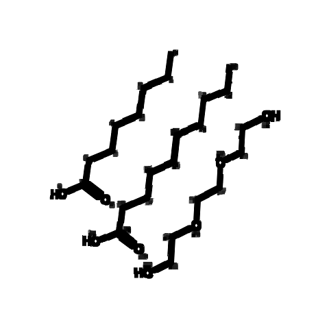 CCCCCCCC(=O)O.CCCCCCCCCC(=O)O.OCCOCCOCCO